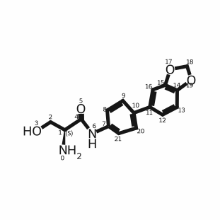 N[C@@H](CO)C(=O)Nc1ccc(-c2ccc3c(c2)OCO3)cc1